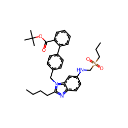 CCCCc1nc2ccc(NCS(=O)(=O)CCC)cc2n1Cc1ccc(-c2ccccc2C(=O)OC(C)(C)C)cc1